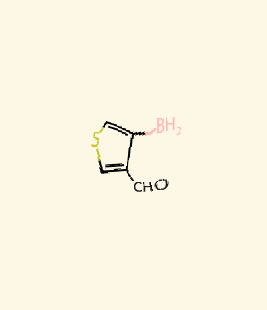 Bc1cscc1C=O